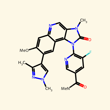 CNC(=O)c1cnc(-n2c(=O)n(C)c3cnc4cc(OC)c(-c5cn(C)nc5C)cc4c32)c(F)c1